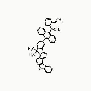 C=CC1C=CC=CC1C(=C)c1c2ccccc2c(-c2ccc3c(c2)-c2ccc4c(ccc5oc6ccccc6c54)c2C3(C)C)c2ccccc12